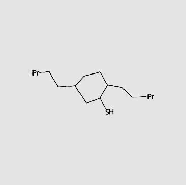 CC(C)CCC1CCC(CCC(C)C)C(S)C1